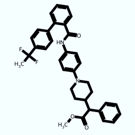 COC(=O)C(c1ccccc1)C1CCN(c2ccc(NC(=O)c3ccccc3-c3ccc(C(C)(F)F)cc3)cc2)CC1